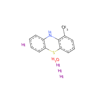 FC(F)(F)c1cccc2c1Nc1ccccc1S2.I.I.I.I.O